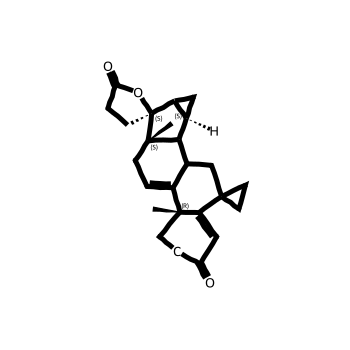 C[C@]12CCC(=O)C=C1C1(CC1)CC1C2=CC[C@@]2(C)C1[C@@H]1CC1[C@@]21CCC(=O)O1